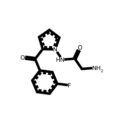 NCC(=O)Nn1cccc1C(=O)c1cccc(F)c1